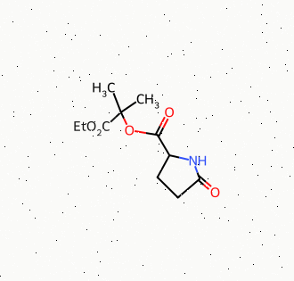 CCOC(=O)C(C)(C)OC(=O)C1CCC(=O)N1